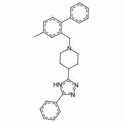 Cc1c[c]c(-c2ccccc2)c(CN2CCC(c3nnc(-c4ccccc4)[nH]3)CC2)c1